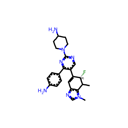 CC1c2c(ncn2C)C=C(c2cnc(N3CCC(N)CC3)nc2-c2ccc(N)cc2)[C@@H]1F